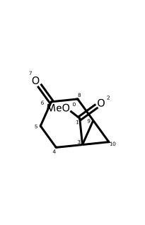 COC(=O)C12CCC(=O)CC1C2